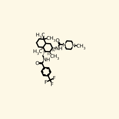 C[C@@H]1[C@H](NC(=O)N2CCN(C)CC2)CC2C(C)(C)CCC[C@]2(C)[C@H]1CNC(=O)c1ccc(C(F)(F)F)cc1